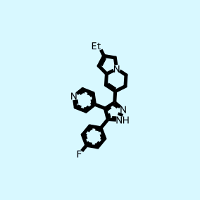 CCC1=CC2C=C(c3n[nH]c(-c4ccc(F)cc4)c3-c3ccncc3)CCN2C1